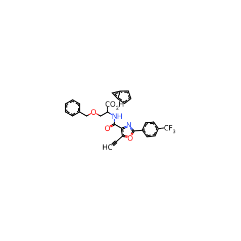 C#Cc1oc(-c2ccc(C(F)(F)F)cc2)nc1C(=O)NC(COCc1ccccc1)C(=O)O.c1cc2cc-2c1